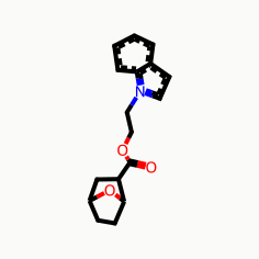 O=C(OCCn1ccc2ccccc21)C1CC2CCC1O2